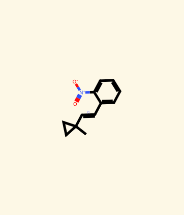 CC1(/C=C/c2ccccc2[N+](=O)[O-])CC1